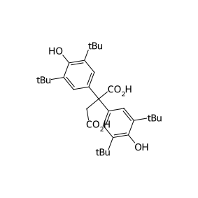 CC(C)(C)c1cc(C(CC(=O)O)(C(=O)O)c2cc(C(C)(C)C)c(O)c(C(C)(C)C)c2)cc(C(C)(C)C)c1O